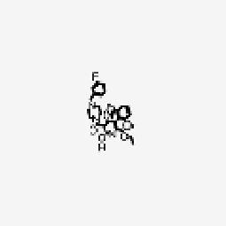 CCOCc1nc(O)c(C(=O)N2CCN(Cc3cccc(F)c3)CC2)c(O)c1-c1c(OC)cccc1OC